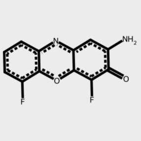 Nc1cc2nc3cccc(F)c3oc-2c(F)c1=O